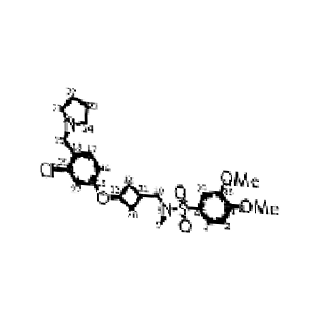 COc1ccc(S(=O)(=O)N(C)CC2CC(Oc3ccc(CN4CCCC4)c(Cl)c3)C2)cc1OC